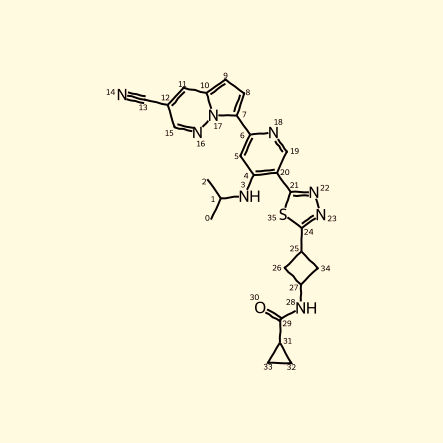 CC(C)Nc1cc(-c2ccc3cc(C#N)cnn23)ncc1-c1nnc(C2CC(NC(=O)C3CC3)C2)s1